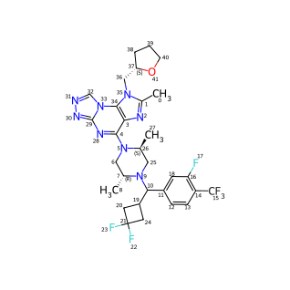 Cc1nc2c(N3C[C@@H](C)N(C(c4ccc(C(F)(F)F)c(F)c4)C4CC(F)(F)C4)C[C@@H]3C)nc3nncn3c2n1C[C@@H]1CCCO1